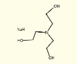 OCCN(CCO)CCO.[NaH]